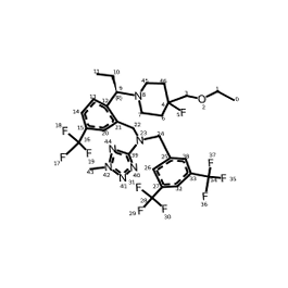 CCOCC1(F)CCN([C@H](CC)c2ccc(C(F)(F)F)cc2CN(Cc2cc(C(F)(F)F)cc(C(F)(F)F)c2)c2nnn(C)n2)CC1